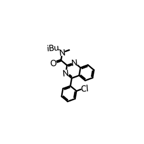 CC[C@@H](C)N(C)C(=O)c1nc(-c2ccccc2Cl)c2ccccc2n1